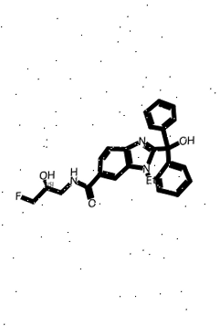 CCn1c(C(O)(c2ccccc2)c2ccccc2)nc2ccc(C(=O)NC[C@H](O)CF)cc21